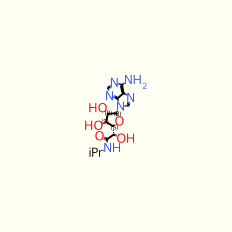 CC(C)NC(=O)C(O)[C@H]1O[C@@H](n2cnc3c(N)ncnc32)[C@H](O)[C@@H]1O